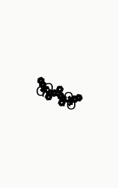 O=c1c(=NC2=Cc3cc4c(cc3C23CCCCC3)-c2cc3c(cc2C42CCCCC2)C=C(N=c2c(=O)c4cc5ccccc5cc4c2=O)C32CCCCC2)c(=O)c2cc3ccccc3cc12